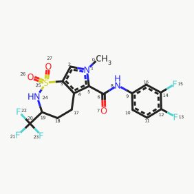 Cn1cc2c(c1C(=O)Nc1ccc(F)c(F)c1)CCC(C(F)(F)F)NS2(=O)=O